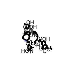 COc1c(OC(C)C)cc2cc(O)c(C(=O)NC3Cc4ccc(c(Cl)n4)O[C@H]4C=C5C#C/C(=C\C#C[C@@H]6OC56[C@@H]4O[C@H]4C[C@@](C)(O)[C@@H](O)[C@H](C)O4)C(O[C@H]4C[C@H](O)[C@H](N(C)C)[C@H](C)O4)COC3=O)cc2c1OC